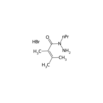 Br.CCCN(N)C(=O)C(C)=C(C)C